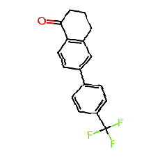 O=C1CCCc2cc(-c3ccc(C(F)(F)F)cc3)ccc21